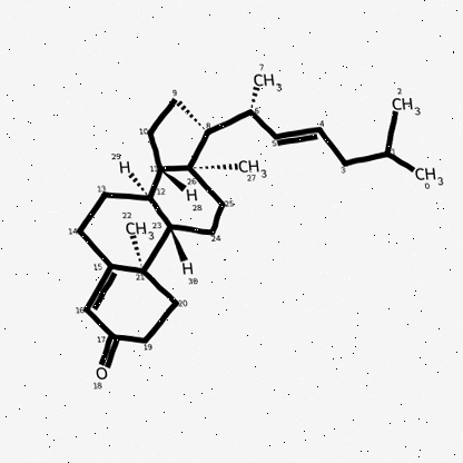 CC(C)C/C=C/[C@@H](C)[C@H]1CC[C@H]2[C@@H]3CCC4=CC(=O)CC[C@]4(C)[C@H]3CC[C@]12C